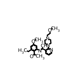 CCc1cc(OC)cc(/N=C(\C)c2cccnc2N2CCN(CCOC)CC2)c1C(C)=O